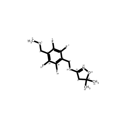 COCc1c(F)c(F)c(CSC2=NOC(C)(C)C2)c(F)c1F